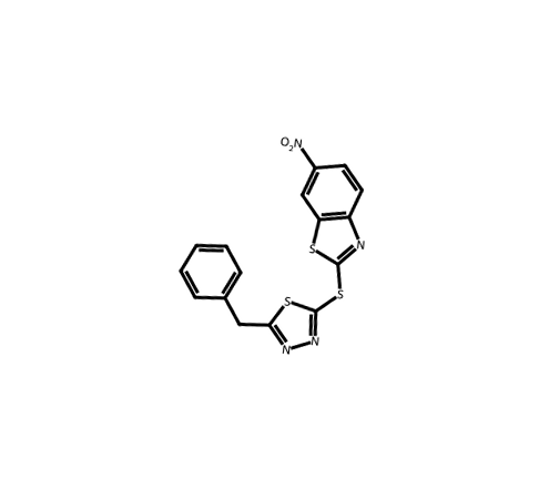 O=[N+]([O-])c1ccc2nc(Sc3nnc(Cc4ccccc4)s3)sc2c1